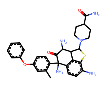 Cc1cc(Oc2ccccc2)ccc1C1(N)C(=O)C(N)C2c3c1ccc(N)c3SC2N1CCC(C(N)=O)CC1